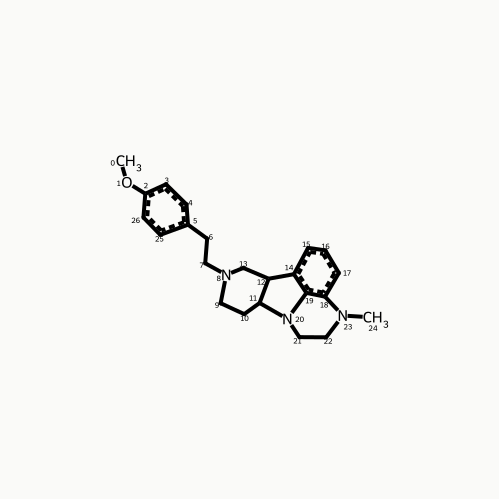 COc1ccc(CCN2CCC3C(C2)c2cccc4c2N3CCN4C)cc1